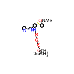 CNC(=O)c1ccccc1Sc1ccc2c(/C=C/c3ccccn3)nn(CCOCCOCCOCCO[Si](C)(C)C(C)(C)C)c2c1